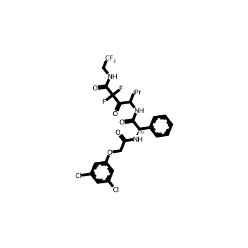 CC(C)C(NC(=O)[C@@H](NC(=O)COc1cc(Cl)cc(Cl)c1)c1ccccc1)C(=O)C(F)(F)C(=O)NCC(F)(F)F